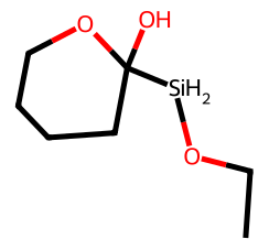 CCO[SiH2]C1(O)CCCCO1